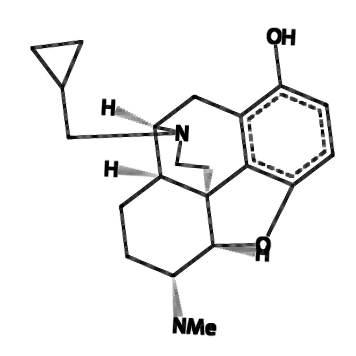 CN[C@@H]1CC[C@H]2[C@H]3Cc4c(O)ccc5c4[C@@]2(CCN3CC2CC2)[C@H]1O5